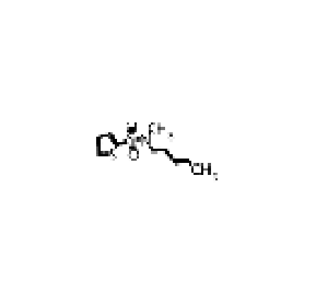 CC=CCCN(C)S(=O)(=O)c1cccs1